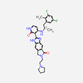 Cc1c(F)cc(F)cc1C[C@H](C)Nc1cc[nH]c(=O)c1-c1nc2cc3c(cc2[nH]1)CN(CCN1CCCC1)C3=O